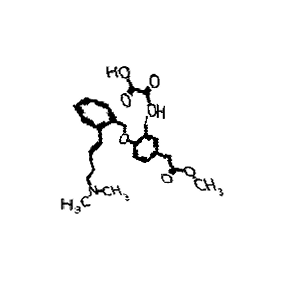 COC(=O)Cc1ccc(OCc2ccccc2C=CCCN(C)C)c(I)c1.O=C(O)C(=O)O